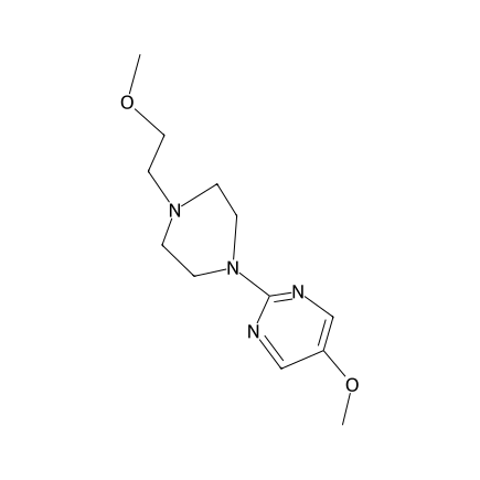 COCCN1CCN(c2ncc(OC)cn2)CC1